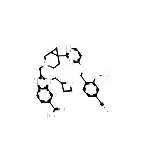 COc1cc(C#N)ccc1COc1ccnc(C23CCN(Cc4nc5ccc(C(=O)O)cc5n4CC4CCO4)CC2C3)n1